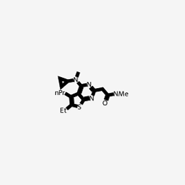 CCCc1c(CC)sc2nc(CC(=O)NC)nc(N(C)C3CC3)c12